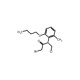 CCCCOc1cccc(C)c1N(CCl)C(=O)CBr